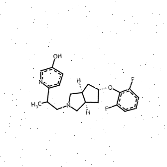 CC(CN1C[C@H]2C[C@H](Oc3c(F)cccc3F)C[C@H]2C1)c1ccc(O)cn1